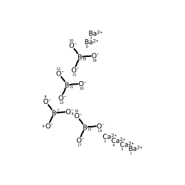 [Ba+2].[Ba+2].[Ba+2].[Ca+2].[Ca+2].[Ca+2].[O-]B([O-])[O-].[O-]B([O-])[O-].[O-]B([O-])[O-].[O-]B([O-])[O-]